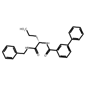 O=C(O)CC[C@H](NC(=O)c1cccc(-c2ccccc2)c1)C(=O)NCc1ccccc1